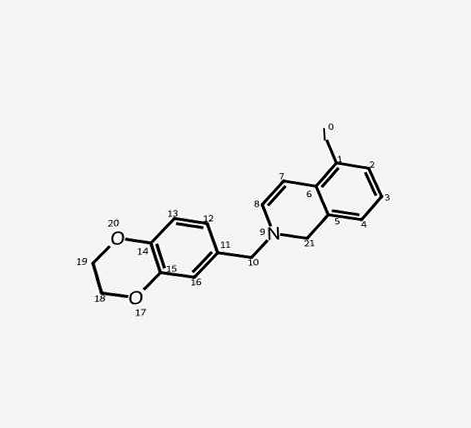 Ic1cccc2c1C=CN(Cc1ccc3c(c1)OCCO3)C2